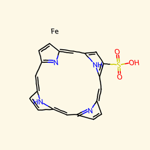 O=S(=O)(O)c1cc2cc3nc(cc4ccc(cc5nc(cc1[nH]2)C=C5)[nH]4)C=C3.[Fe]